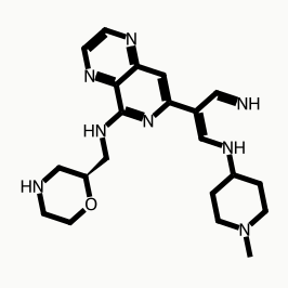 CN1CCC(N/C=C(\C=N)c2cc3nccnc3c(NC[C@@H]3CNCCO3)n2)CC1